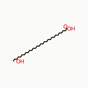 CCC(O)CCCCCCCCCCCCCCCCCCCCCCCCCCC(=O)O